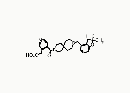 CC1(C)Cc2c(CN3CCC4(CC3)CCN(C(=O)c3ccncc3CC(=O)O)CC4)cccc2O1